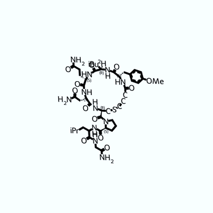 [2H][C@]1(C(C)CC)NC(=O)[C@H](Cc2ccc(OC)cc2)NC(=O)CCCSC[C@@H](C(=O)N2CCC[C@H]2C(=O)NC(CC(C)C)C(=O)NCC(N)=O)NC(=O)[C@H](CC(N)=O)NC(=O)[C@H](CCC(N)=O)NC1=O